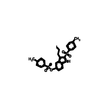 Cc1ccc(S(=O)(=O)Oc2ccc3[nH]c(S(=O)(=O)c4ccc(C)cc4)c(CCI)c3c2)cc1